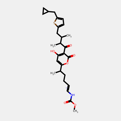 COC(=O)N/C=C/CCC(C)c1cc(O)c(C(=O)C(C)C(C)Cc2ccc(CC3CC3)s2)c(=O)o1